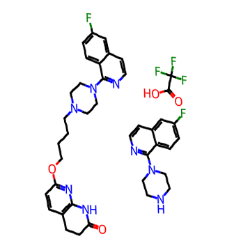 Fc1ccc2c(N3CCNCC3)nccc2c1.O=C(O)C(F)(F)F.O=C1CCc2ccc(OCCCCN3CCN(c4nccc5cc(F)ccc45)CC3)nc2N1